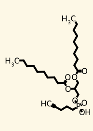 C#CCCCP(=O)(O)OCC(COC(=O)CCCCCCCCC)OC(=O)CCCCCCCCC